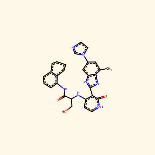 Cc1cc(-n2ccnc2)cc2[nH]c(-c3c(NC(CO)C(=O)Nc4cccc5ccccc45)cc[nH]c3=O)nc12